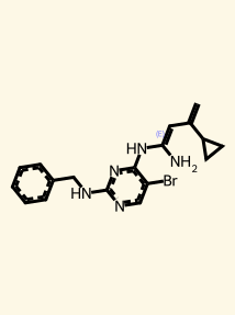 C=C(/C=C(\N)Nc1nc(NCc2ccccc2)ncc1Br)C1CC1